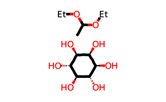 CCOC(C)OCC.O[C@H]1[C@H](O)[C@@H](O)[C@H](O)[C@@H](O)[C@H]1O